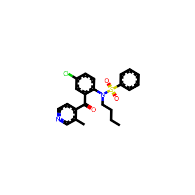 CCCCN(c1ccc(Cl)cc1C(=O)c1ccncc1C)S(=O)(=O)c1ccccc1